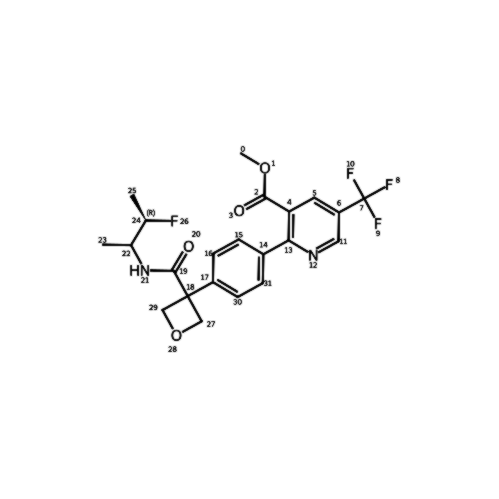 COC(=O)c1cc(C(F)(F)F)cnc1-c1ccc(C2(C(=O)NC(C)[C@@H](C)F)COC2)cc1